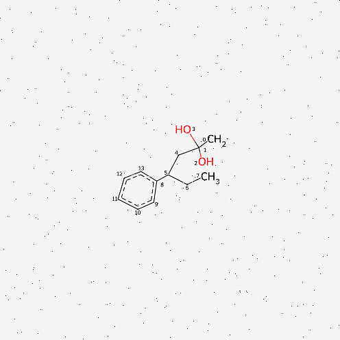 [CH2]C(O)(O)CC(CC)c1ccccc1